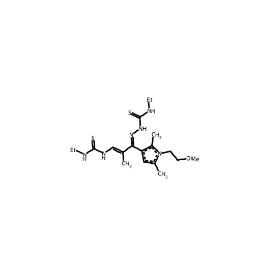 CCNC(=S)N/C=C(C)/C(=N/NC(=S)NCC)c1cc(C)n(CCOC)c1C